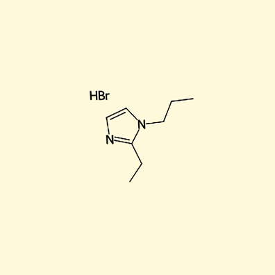 Br.CCCn1ccnc1CC